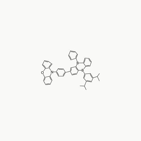 CC(C)c1cc(B2c3ccccc3B(c3ccccc3)c3cc(-c4ccc(N5c6ccccc6Oc6ccccc65)cc4)ccc32)cc(C(C)C)c1